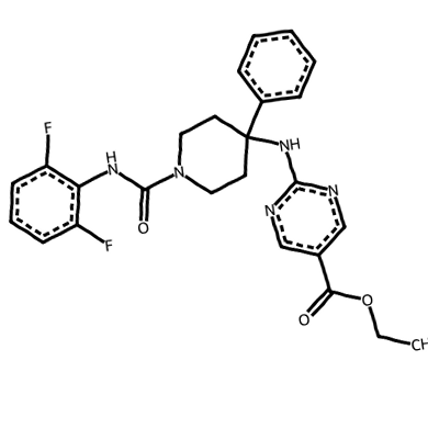 CCOC(=O)c1cnc(NC2(c3ccccc3)CCN(C(=O)Nc3c(F)cccc3F)CC2)nc1